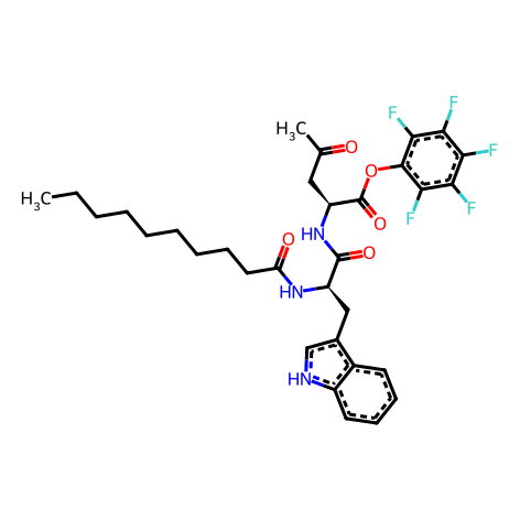 CCCCCCCCCC(=O)N[C@H](Cc1c[nH]c2ccccc12)C(=O)N[C@@H](CC(C)=O)C(=O)Oc1c(F)c(F)c(F)c(F)c1F